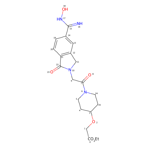 CCOC(=O)COC1CCN(C(=O)CN2Cc3cc(C(=N)NO)ccc3C2=O)CC1